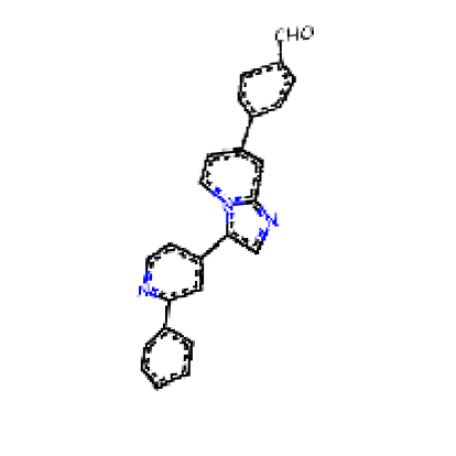 O=Cc1ccc(-c2ccn3c(-c4ccnc(-c5ccccc5)c4)cnc3c2)cc1